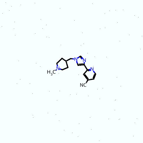 CN1CCC(Cn2cnc(-c3cc(C#N)ccn3)c2)CC1